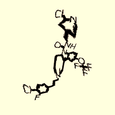 O=C(NCc1ccnc(Cl)c1)n1c2c(c3cc(OC(F)(F)F)ccc31)CN(C/C=C/c1ccc(Cl)c(F)c1)CC2